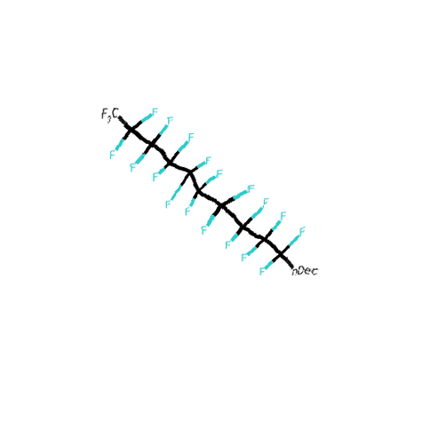 CCCCCCCCCCC(F)(F)C(F)(F)C(F)(F)C(F)(F)C(F)(F)C(F)(F)C(F)(F)C(F)(F)C(F)(F)C(F)(F)F